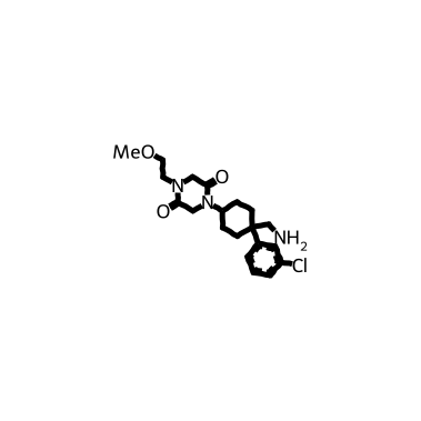 COCCN1CC(=O)N(C2CCC(CN)(c3cccc(Cl)c3)CC2)CC1=O